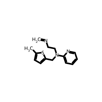 C=NCCN(Cc1ccc(C)s1)c1ccccn1